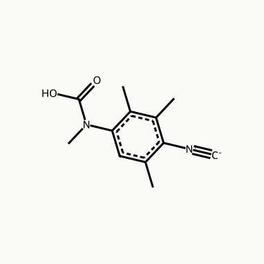 [C-]#[N+]c1c(C)cc(N(C)C(=O)O)c(C)c1C